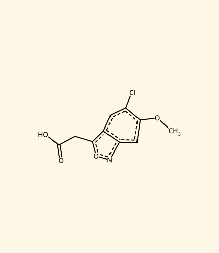 COc1cc2noc(CC(=O)O)c2cc1Cl